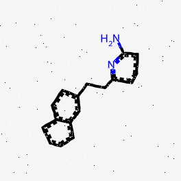 Nc1cccc(CCc2ccc3ccccc3c2)n1